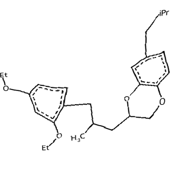 CCOc1ccc(CC(C)CC2COc3ccc(CC(C)C)cc3O2)c(OCC)c1